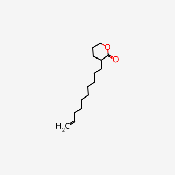 C=CCCCCCCCCC1CCCOC1=O